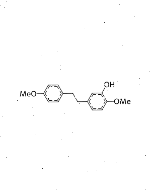 COc1ccc(CCc2ccc(OC)c(O)c2)cc1